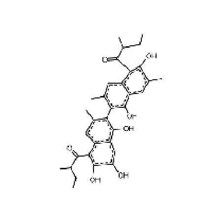 CCC(C)C(=O)c1c(O)c(C)cc2c(O)c(-c3c(C)cc4c(C(=O)C(C)CC)c(O)c(O)cc4c3O)c(C)cc12